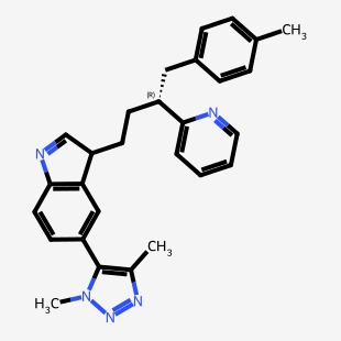 Cc1ccc(C[C@@H](CCC2C=Nc3ccc(-c4c(C)nnn4C)cc32)c2ccccn2)cc1